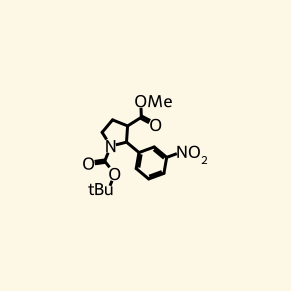 COC(=O)C1CCN(C(=O)OC(C)(C)C)C1c1cccc([N+](=O)[O-])c1